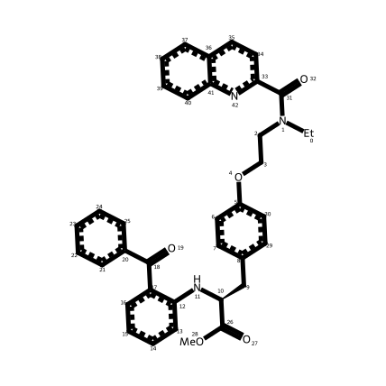 CCN(CCOc1ccc(C[C@H](Nc2ccccc2C(=O)c2ccccc2)C(=O)OC)cc1)C(=O)c1ccc2ccccc2n1